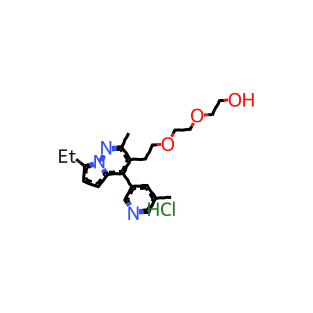 CCc1ccc2c(-c3cncc(C)c3)c(CCOCCOCCO)c(C)nn12.Cl